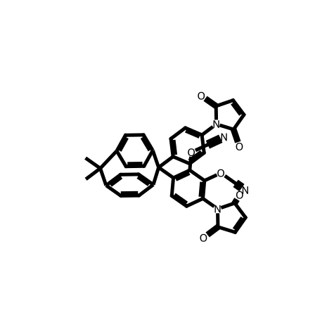 CC1(C)c2ccc(cc2)C(c2ccc(N3C(=O)C=CC3=O)cc2)(c2ccc(N3C(=O)C=CC3=O)c(OC#N)c2OC#N)c2ccc1cc2